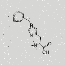 C[N+](C)(C)[C@@H](Cc1cn(Cc2ccccc2)cn1)C(=O)O